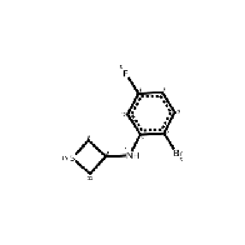 Fc1ccc(Br)c(NC2CSC2)c1